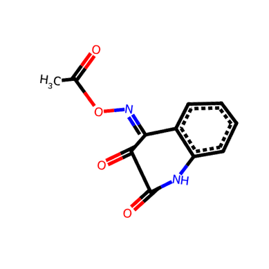 CC(=O)ON=C1C(=O)C(=O)Nc2ccccc21